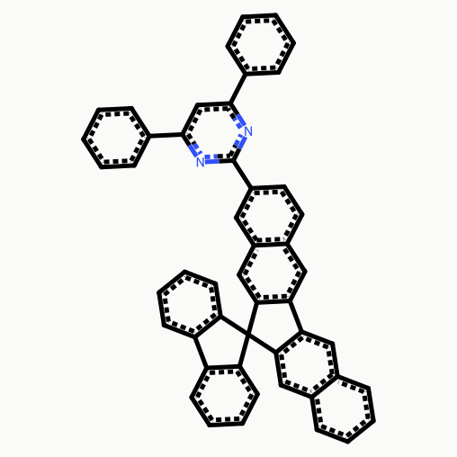 c1ccc(-c2cc(-c3ccccc3)nc(-c3ccc4cc5c(cc4c3)C3(c4ccccc4-c4ccccc43)c3cc4ccccc4cc3-5)n2)cc1